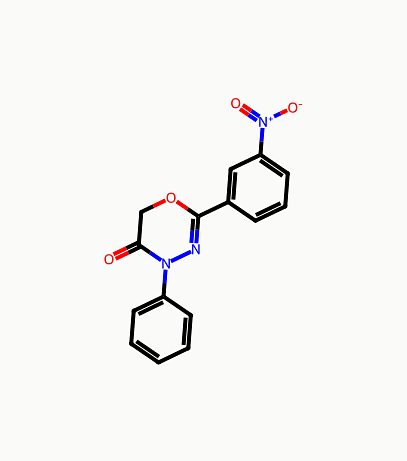 O=C1COC(c2cccc([N+](=O)[O-])c2)=NN1c1ccccc1